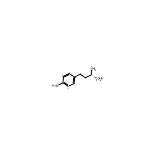 CNc1ccc(CC[C@H](N)C(=O)O)cn1